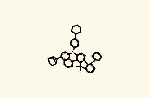 CC1(C)c2cccc(-c3ccccc3)c2-c2ccc(N(c3ccc(C4CCCCC4)cc3)c3ccc(C4CC5CCC4CC5)cc3)c(-c3ccccc3)c21